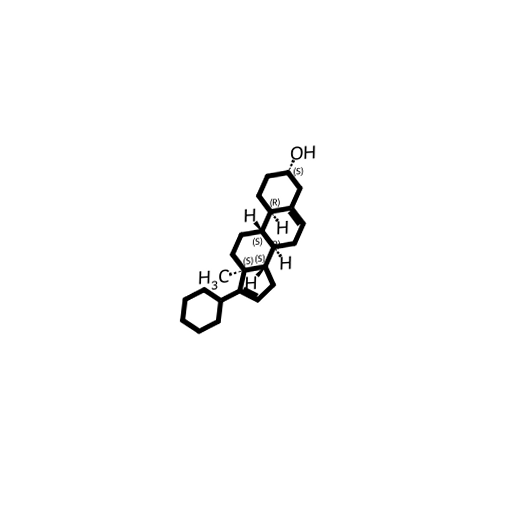 C[C@]12CC[C@H]3[C@@H](CC=C4C[C@@H](O)CC[C@@H]43)[C@@H]1CC=C2C1CCCCC1